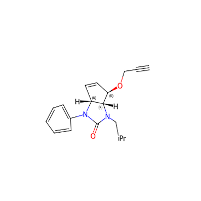 C#CCO[C@@H]1C=C[C@@H]2[C@H]1N(CC(C)C)C(=O)N2c1ccccc1